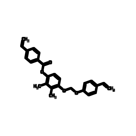 C=Cc1ccc(OCOc2ccc(OC(=O)c3ccc(C=C)cc3)c(C)c2C)cc1